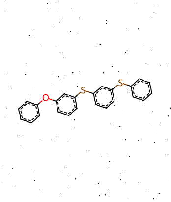 c1ccc(Oc2cccc(Sc3cccc(Sc4ccccc4)c3)c2)cc1